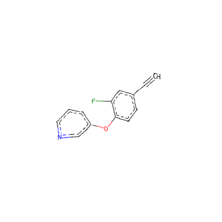 C#Cc1ccc(Oc2cccnc2)c(F)c1